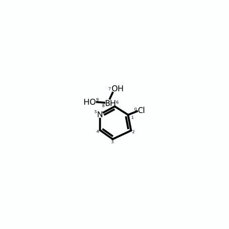 Clc1cccnc1.OBO